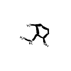 NNc1c(N)cccc1S